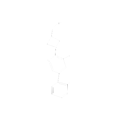 CC(C)OC1CN(c2ncc(-c3ccc[c]c3F)cc2F)C1